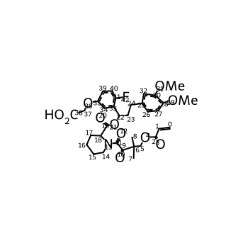 C=CC(=O)OCC(C)(C)C(=O)C(=O)N1CCCCC1C(=O)O[C@H](CCc1ccc(OC)c(OC)c1)c1cc(OCC(=O)O)ccc1F